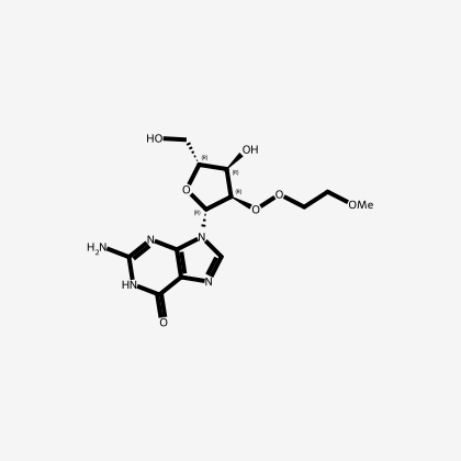 COCCOO[C@@H]1[C@H](O)[C@@H](CO)O[C@H]1n1cnc2c(=O)[nH]c(N)nc21